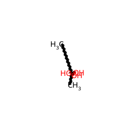 CCCCC=CC(O)(CO)[C@@H](O)CCCCCCCCCCCCCCCC